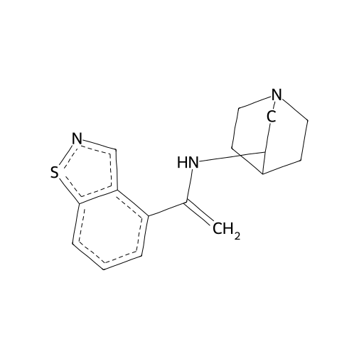 C=C(NC1CN2CCC1CC2)c1cccc2sncc12